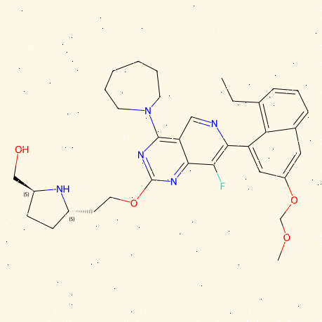 CCc1cccc2cc(OCOC)cc(-c3ncc4c(N5CCCCCC5)nc(OCC[C@@H]5CC[C@@H](CO)N5)nc4c3F)c12